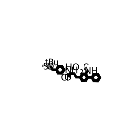 CC(C)(C)[Si](C)(C)OCc1ccc(NC(=O)CCc2ccc(-c3ccccc3)c(NC(=O)O)c2)c(Cl)c1